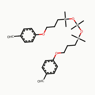 C[Si](C)(CCCOc1ccc(C=O)cc1)O[Si](C)(C)O[Si](C)(C)CCCOc1ccc(C=O)cc1